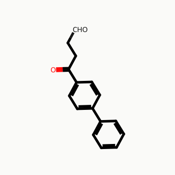 O=CCCC(=O)c1ccc(-c2ccccc2)cc1